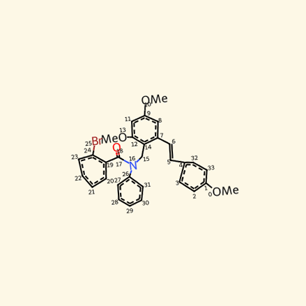 COc1ccc(C=Cc2cc(OC)cc(OC)c2CN(C(=O)c2ccccc2Br)c2ccccc2)cc1